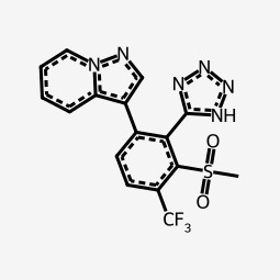 CS(=O)(=O)c1c(C(F)(F)F)ccc(-c2cnn3ccccc23)c1-c1nnn[nH]1